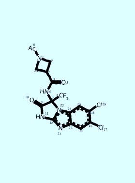 CC(=O)N1CC(C(=O)NC2(C(F)(F)F)C(=O)Nc3nc4cc(Cl)c(Cl)cc4n32)C1